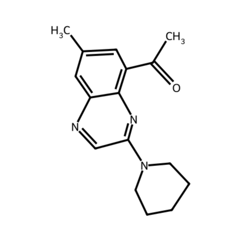 CC(=O)c1cc(C)cc2ncc(N3CCCCC3)nc12